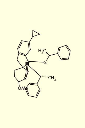 COC1CCC2(CC1)Cc1ccc(C3CC3)cc1C21N=C(S[C@@H](C)c2ccccc2)N([C@H](C)c2ccccc2)C1=O